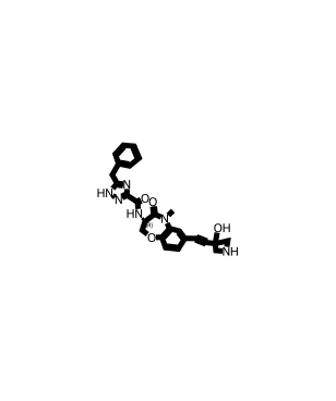 CN1C(=O)[C@H](NC(=O)c2n[nH]c(Cc3ccccc3)n2)COc2ccc(C#CC3(O)CNC3)cc21